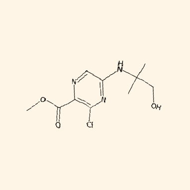 COC(=O)c1ncc(NC(C)(C)CO)nc1Cl